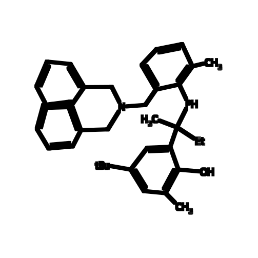 CCC(C)(Pc1c(C)cccc1CN(Cc1ccccc1)Cc1ccccc1)c1cc(C(C)(C)C)cc(C)c1O